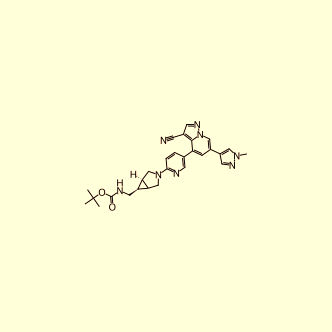 Cn1cc(-c2cc(-c3ccc(N4CC5[C@@H](CNC(=O)OC(C)(C)C)[C@H]5C4)nc3)c3c(C#N)cnn3c2)cn1